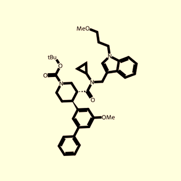 COCCCn1cc(CN(C(=O)[C@H]2CN(C(=O)OC(C)(C)C)CC[C@@H]2c2cc(OC)cc(-c3ccccc3)c2)C2CC2)c2ccccc21